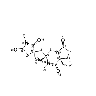 C[C@H]1CC(=O)N2C[C@@](C)(C[C@@]3(C(C)(C)C)CC(=O)N(C)C3=O)N(C)C(=O)[C@@]12C